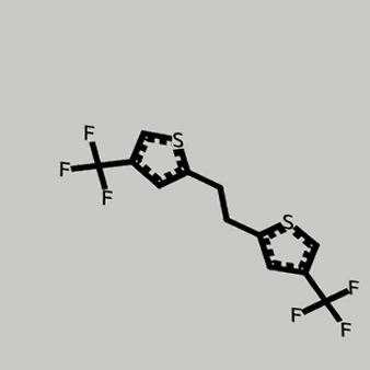 FC(F)(F)c1csc(CCc2cc(C(F)(F)F)cs2)c1